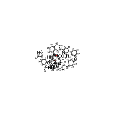 Cc1ncsc1-c1ccc([C@H](C)NC(=O)[C@@H]2C[C@@H](O)CN2C(=O)C(NC(=O)CC(C)Cc2ccc(Oc3cccc(-c4ccc(N5CCc6cccc(C(=O)Nc7nc8ccccc8s7)c6C5)nc4C(=O)O)c3C)cc2)C(C)(C)C)cc1